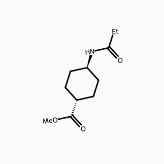 CCC(=O)N[C@H]1CC[C@H](C(=O)OC)CC1